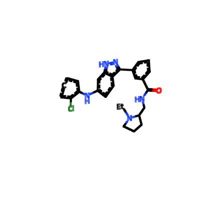 CCN1CCCC1CNC(=O)c1cccc(-c2n[nH]c3cc(Nc4ccccc4Cl)ccc23)c1